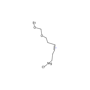 CCOCOCC/C=C\C[CH2][Mg][Cl]